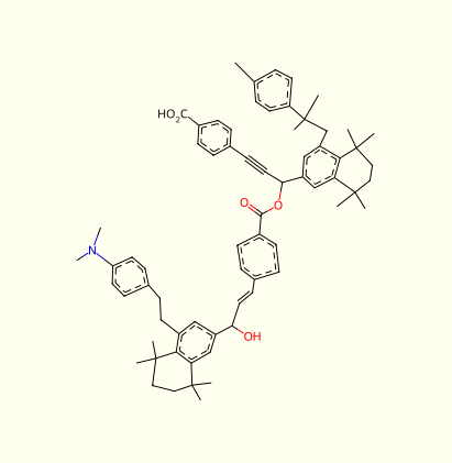 Cc1ccc(C(C)(C)Cc2cc(C(C#Cc3ccc(C(=O)O)cc3)OC(=O)c3ccc(C=CC(O)c4cc(CCc5ccc(N(C)C)cc5)c5c(c4)C(C)(C)CCC5(C)C)cc3)cc3c2C(C)(C)CCC3(C)C)cc1